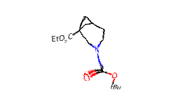 CCOC(=O)C12CC1CCN(C(=O)OC(C)(C)C)C2